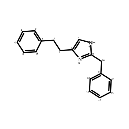 c1ccc(CCc2c[nH]c(Cc3ccccc3)n2)cc1